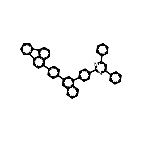 c1ccc(-c2cc(-c3ccccc3)nc(-c3ccc(-c4cc(-c5ccc(-c6ccc7c8c(cccc68)-c6ccccc6-7)cc5)cc5ccccc45)cc3)n2)cc1